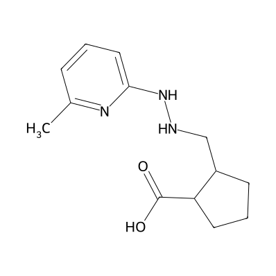 Cc1cccc(NNCC2CCCC2C(=O)O)n1